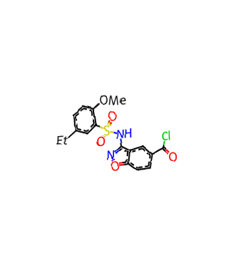 CCc1ccc(OC)c(S(=O)(=O)Nc2noc3ccc(C(=O)Cl)cc23)c1